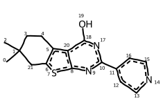 CC1(C)CCc2c(sc3nc(-c4ccncc4)nc(O)c23)C1